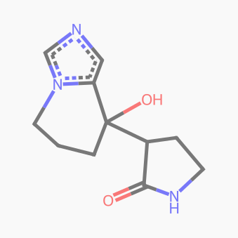 O=C1NCCC1C1(O)CCCn2cncc21